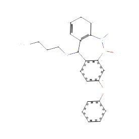 COCCCNC1C2=C(CCC=C2)N(C)[S+]([O-])c2cc(Oc3ccccc3)ccc21